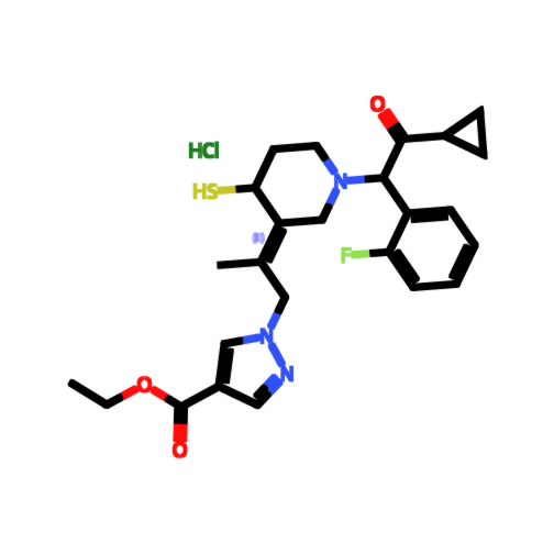 CCOC(=O)c1cnn(C/C(C)=C2\CN(C(C(=O)C3CC3)c3ccccc3F)CCC2S)c1.Cl